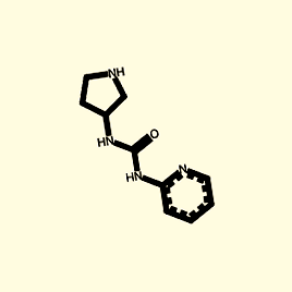 O=C(Nc1ccccn1)NC1CCNC1